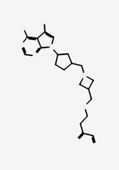 C=CC(=C)CCNCC1CN(CC2CCC(n3cc(Br)c4c(N)ncnc43)C2)C1